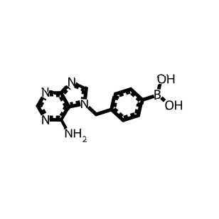 Nc1ncnc2ncn(Cc3ccc(B(O)O)cc3)c12